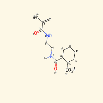 C=C(C(=O)NCCN(C)C(=O)C1CCCCC1C(=O)O)C(C)C